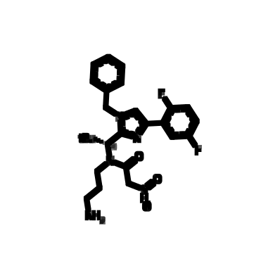 CC(C)(C)[C@H](c1nc(-c2cc(F)ccc2F)cn1Cc1ccccc1)N(CCCN)C(=O)C[SH](=O)=O